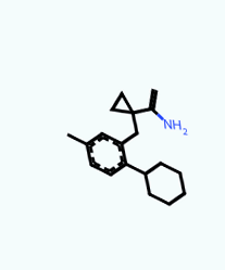 C=C(N)C1(Cc2cc(C)ccc2C2CCCCC2)CC1